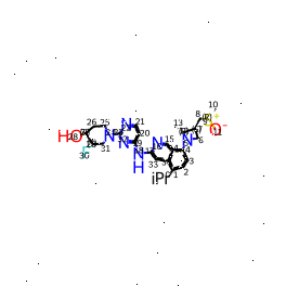 CC(C)c1ccc(N2C[C@H](C[S@+](C)[O-])[C@H]2C)c2cnc(Nc3ccnc(N4CC[C@@H](O)[C@@H](F)C4)n3)cc12